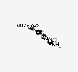 CC(=O)NC[C@H]1CN(c2ccc(N3CCN(c4ccc(N)c(Cl)n4)CC3)c(F)c2)C(=O)O1